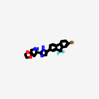 FC1(F)c2cc(Br)ccc2-c2ccc(-c3cnc(C4CC5(CN4)OCCO5)[nH]3)cc21